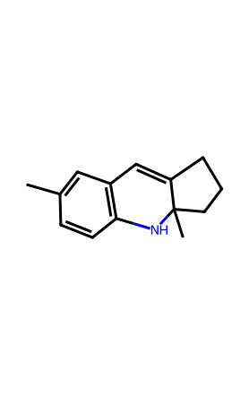 Cc1ccc2c(c1)C=C1CCCC1(C)N2